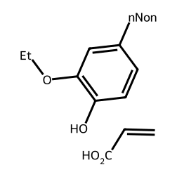 C=CC(=O)O.CCCCCCCCCc1ccc(O)c(OCC)c1